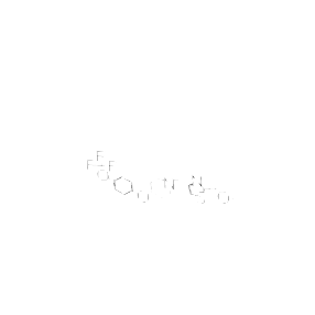 [O]Cc1nc(CN2CCC(Oc3ccc(OC(F)(F)F)cc3)CC2)cs1